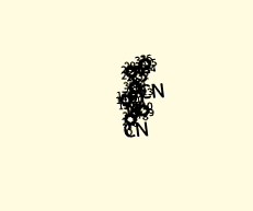 N#Cc1ccc2c(c1)c1ccccc1n2-c1cccc2c1oc1c(C#N)cc(-c3cccc4c3sc3ccccc34)cc12